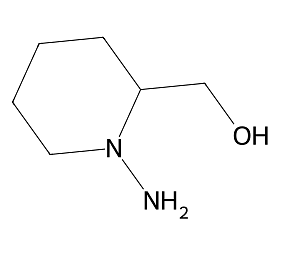 NN1CCCCC1CO